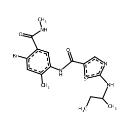 CCC(C)Nc1ncc(C(=O)Nc2cc(C(=O)NC)c(Br)cc2C)s1